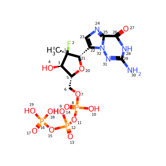 C[C@@]1(F)[C@H](O)[C@@H](COP(=O)(O)OP(=O)(O)OP(=O)(O)O)O[C@H]1c1cnc2c(=O)[nH]c(N)nn12